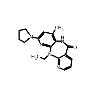 CCN1c2ncccc2C(=O)Nc2c(C)cc(N3CCCC3)nc21